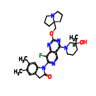 Cc1cc2c(cc1C)N(c1ncc3c(N4CCC[C@@](C)(O)C4)nc(OCC45CCCN4CCC5)nc3c1F)C(=O)C2